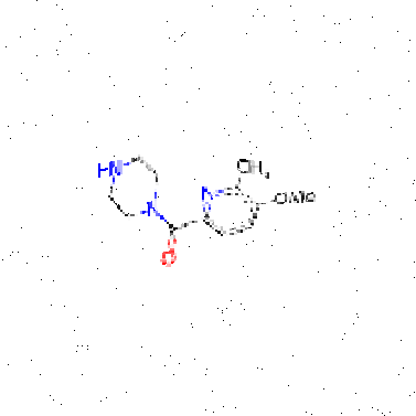 COc1ccc(C(=O)N2CCNCC2)nc1C